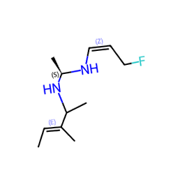 C/C=C(\C)C(C)N[C@@H](C)N/C=C\CF